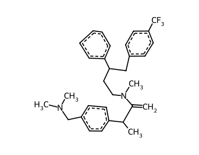 C=C(C(C)c1ccc(CN(C)C)cc1)N(C)CCC(Cc1ccc(C(F)(F)F)cc1)c1ccccc1